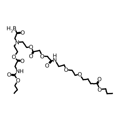 BC(=O)CN(CCOC(=O)CNC(=O)OCCC)CCOC(=O)COCC(=O)NCCOCCOCCCC(=O)OCCC